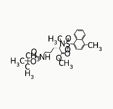 COC(=O)[C@H](CCCNC(=O)OC(C)(C)C)N(C)S(=O)(=O)c1ccc(C)c2ccccc12